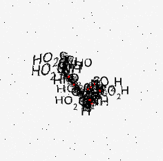 O=C[C@H](CCC(=O)O)NC(=O)N[C@@H](CCCCNC(=O)CCCCCCC(=O)NCCCCC(NC(=O)C(Cc1ccccc1)NC(=O)CN1CCN(CC(=O)O)CCN(CC(=O)O)CCN(CC(=O)O)CC1)C(=O)O)C(=O)O